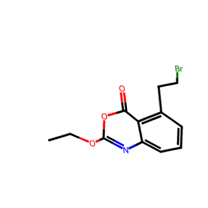 CCOc1nc2cccc(CCBr)c2c(=O)o1